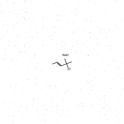 CC=CC(C)(C)CC.[NaH]